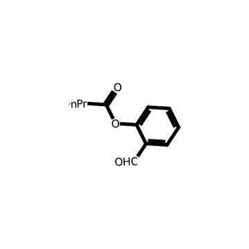 CC[CH]C(=O)Oc1ccccc1C=O